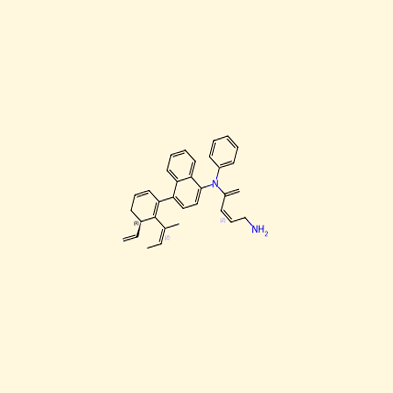 C=C[C@H]1CC=CC(c2ccc(N(C(=C)/C=C\CN)c3ccccc3)c3ccccc23)=C1/C(C)=C\C